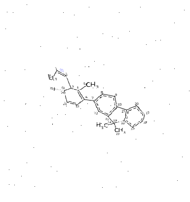 CC/C=C\C1C(C)=C(c2ccc3c(c2)C(C)(C)c2ccccc2-3)C=C[C@@H]1I